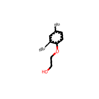 CC(C)(C)c1ccc(OCCO)c(C(C)(C)C)c1